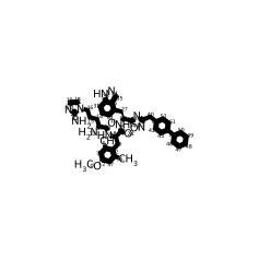 COc1cc(C)c(CC(NC(=O)C(N)CCCn2ccnc2N)C(=O)N[C@@H](Cc2cccc3[nH]ncc23)c2nc(Cc3ccc(-c4ccccc4)cc3)no2)c(C)c1